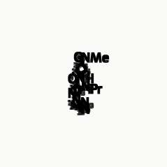 CNC(=O)C1CCC(NC(=O)c2cnc(-n3ccc4cncnc43)cc2NC(C)C)CC1